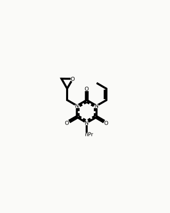 C/C=C\n1c(=O)n(CCC)c(=O)n(CC2CO2)c1=O